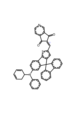 O=C1/C(=C\c2cc3c(s2)-c2ccc(N(c4ccccc4)C4C=CC=CC4)cc2C32c3ccccc3-c3ccccc32)C(=O)c2cnccc21